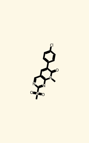 Cn1c(=O)c(-c2ccc(Cl)cc2)cc2cnc(S(C)(=O)=O)nc21